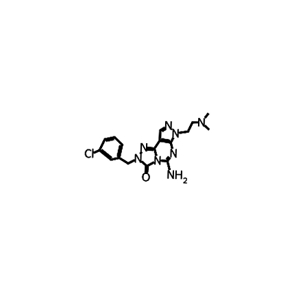 CN(C)CCn1ncc2c1nc(N)n1c(=O)n(Cc3cccc(Cl)c3)nc21